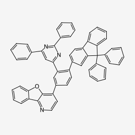 c1ccc(-c2cc(-c3cc(-c4ccnc5c4oc4ccccc45)ccc3-c3ccc4c(c3)C(c3ccccc3)(c3ccccc3)c3ccccc3-4)nc(-c3ccccc3)n2)cc1